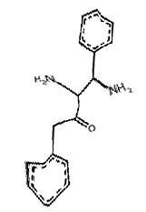 NC(C(=O)Cc1ccccc1)C(N)c1ccccc1